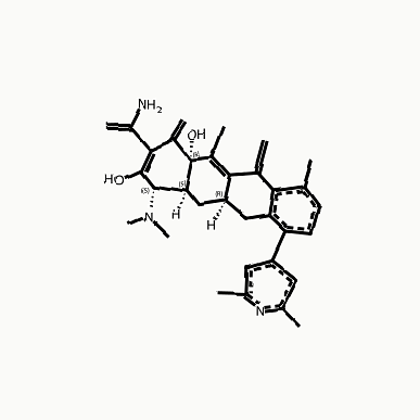 C=C(N)C1=C(O)[C@@H](N(C)C)[C@@H]2C[C@@H]3Cc4c(-c5cc(C)nc(C)c5)ccc(C)c4C(=C)C3=C(C)[C@]2(O)C1=C